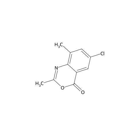 Cc1nc2c(C)cc(Cl)cc2c(=O)o1